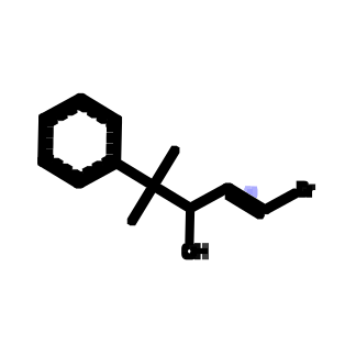 CC(C)(c1ccccc1)C(O)/C=C/Br